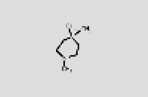 C[N+]1CC[N+](C)(C)CC1